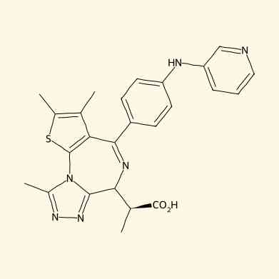 Cc1sc2c(c1C)C(c1ccc(Nc3cccnc3)cc1)=NC([C@H](C)C(=O)O)c1nnc(C)n1-2